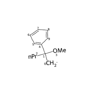 [CH2]C(CCC)(OC)c1ccccc1